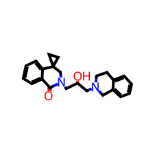 O=C1c2ccccc2C2(CC2)CN1CC(O)CN1CCc2ccccc2C1